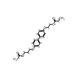 CCC(=O)OCCOc1ccc(-c2ccc(OCCCOC(C)=O)cc2)cc1